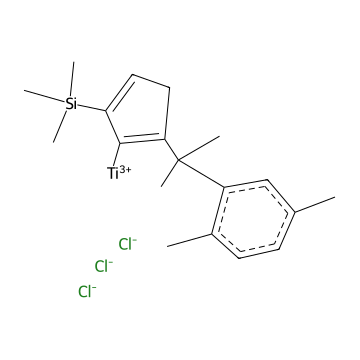 Cc1ccc(C)c(C(C)(C)C2=[C]([Ti+3])C([Si](C)(C)C)=CC2)c1.[Cl-].[Cl-].[Cl-]